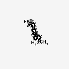 CCN(CC)C(=O)C1CCCN(C2CCN(S(=O)(=O)c3cccc4c(N(C)C)cccc34)CC2)C1